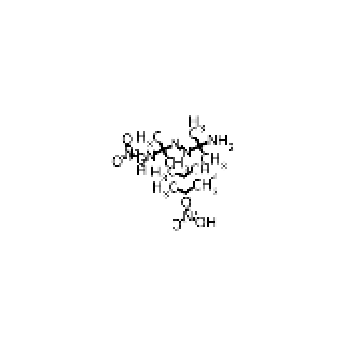 CC(C)(N)N=NC(C)(C)N.CCC.CCC.O=[N+]([O-])O.O=[N+]([O-])O